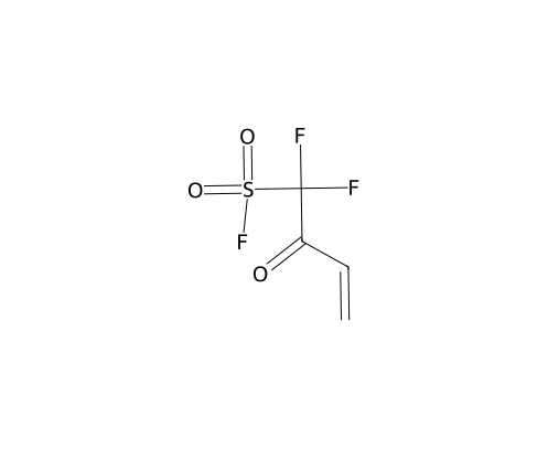 C=CC(=O)C(F)(F)S(=O)(=O)F